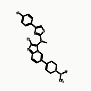 CCc1nc2ccc(C3=CCN([S+]([O-])C(F)(F)F)CC3)cn2c1N(C)c1nc(-c2ccc(Cl)cc2)cs1